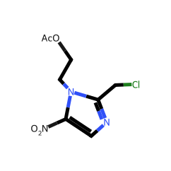 CC(=O)OCCn1c([N+](=O)[O-])cnc1CCl